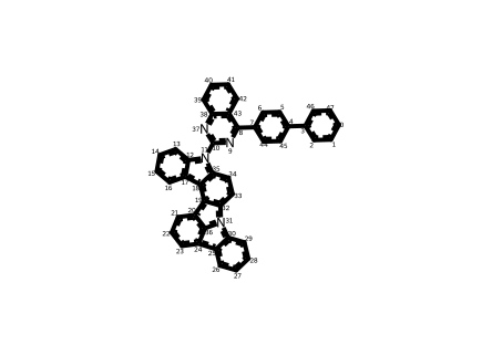 c1ccc(-c2ccc(-c3nc(-n4c5ccccc5c5c6c7cccc8c9ccccc9n(c6ccc54)c87)nc4ccccc34)cc2)cc1